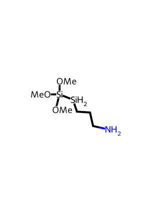 CO[Si](OC)(OC)[SiH2]CCCN